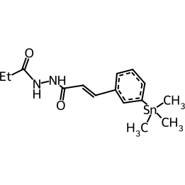 CCC(=O)NNC(=O)C=Cc1ccc[c]([Sn]([CH3])([CH3])[CH3])c1